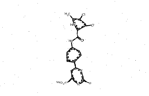 Cc1[nH]c(C(=O)Nc2ccc(-c3cc(C(=O)O)nc(Cl)n3)cc2)c(Cl)c1Cl